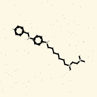 CN(C)CCN(C)CCCCCCCOc1ccc(OCc2ccccc2)cc1